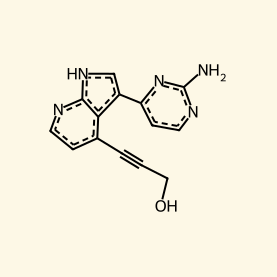 Nc1nccc(-c2c[nH]c3nccc(C#CCO)c23)n1